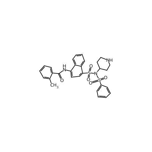 Cc1ccccc1C(=O)Nc1ccc(S(=O)(=O)N(C2CCNCC2)S(=O)(=O)c2ccccc2)c2ccccc12